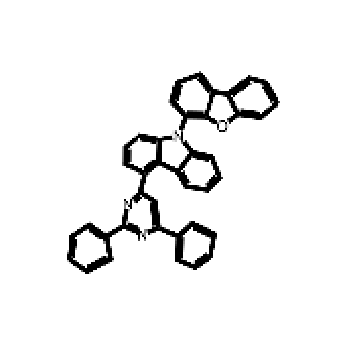 c1ccc(-c2cc(-c3cccc4c3c3ccccc3n4-c3cccc4c3oc3ccccc34)nc(-c3ccccc3)n2)cc1